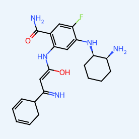 N=C(/C=C(\O)Nc1cc(N[C@@H]2CCCC[C@@H]2N)c(F)cc1C(N)=O)C1C=CC=CC1